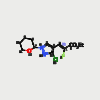 CCOC(=O)/C(F)=C/c1cn(C2CCCCO2)nc1Cl